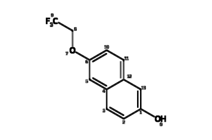 Oc1ccc2cc(OCC(F)(F)F)ccc2c1